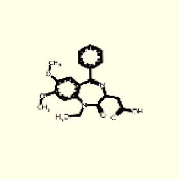 CCN1C(=O)C(CC(=O)O)N=C(c2ccccc2)c2cc(OC)c(OC)cc21